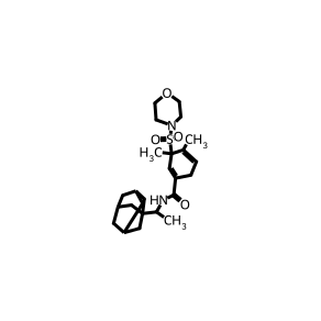 CC1=CCC(C(=O)NC(C)C23CC4CC(CC(C4)C2)C3)=CC1(C)S(=O)(=O)N1CCOCC1